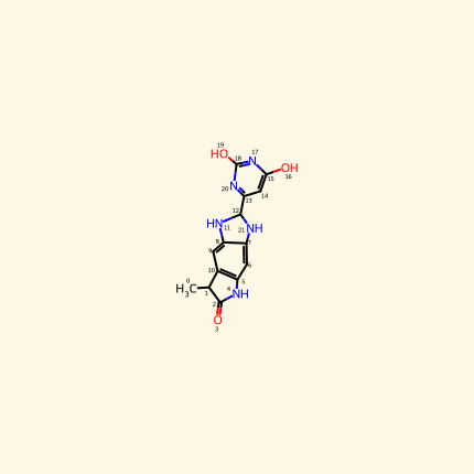 CC1C(=O)Nc2cc3c(cc21)NC(c1cc(O)nc(O)n1)N3